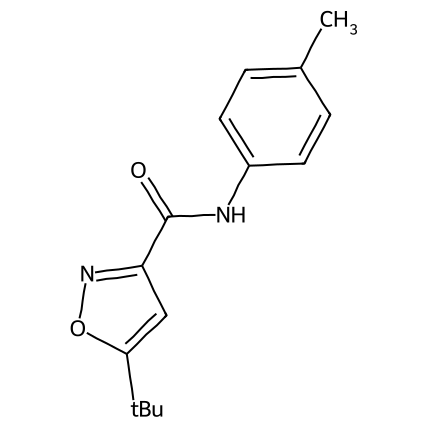 Cc1ccc(NC(=O)c2cc(C(C)(C)C)on2)cc1